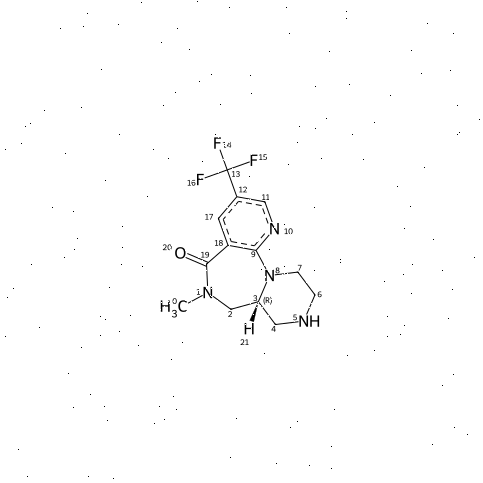 CN1C[C@H]2CNCCN2c2ncc(C(F)(F)F)cc2C1=O